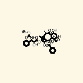 CC(=O)O[C@@]12CO[C@@H]1C[C@H](O)[C@@]1(C)C(=O)[C@H](C)C3=C(C)[C@@H](OC(=O)[C@H](O)C(NC(=O)OC(C)(C)C)c4ccccc4)[C@H](O)C([C@@H](OC(=O)c4ccccc4)[C@H]21)C3(C)C